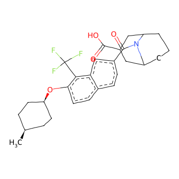 C[C@H]1CC[C@@H](Oc2ccc3ccc(C(=O)N4C5CCCC4CC(C(=O)O)C5)cc3c2C(F)(F)F)CC1